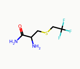 NC(=O)C(N)CSCC(F)(F)F